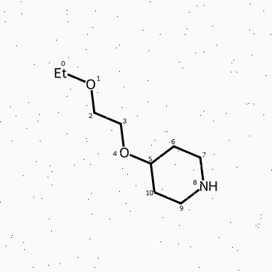 CCOCCOC1CCNCC1